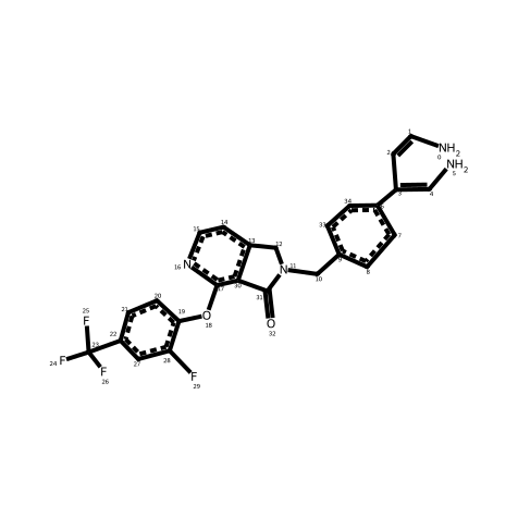 N/C=C\C(=C/N)c1ccc(CN2Cc3ccnc(Oc4ccc(C(F)(F)F)cc4F)c3C2=O)cc1